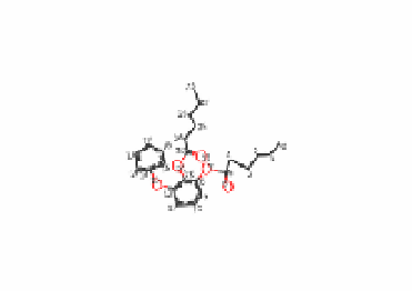 CCCCCC(=O)Oc1cccc(Oc2ccccc2)c1OC(=O)CCCCC